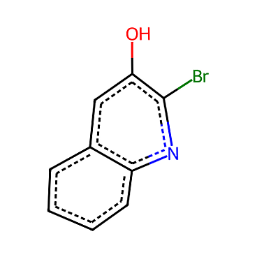 Oc1cc2ccccc2nc1Br